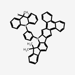 CC1(C)c2ccccc2-c2ccc3c4cc5c6ccccc6c6ccccc6c5cc4n(-c4cccc(N5c6ccccc6C(C)(I)c6ccccc65)c4)c3c21